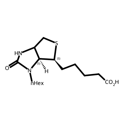 CCCCCCN1C(=O)NC2CS[C@@H](CCCCC(=O)O)[C@H]21